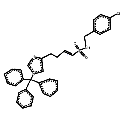 O=S(=O)(/C=C/CCc1cn(C(c2ccccc2)(c2ccccc2)c2ccccc2)cn1)NCc1ccc(Cl)cc1